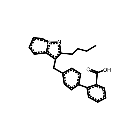 CCCCc1nn2ccccc2c1Cc1ccc(-c2ccccc2C(=O)O)cc1